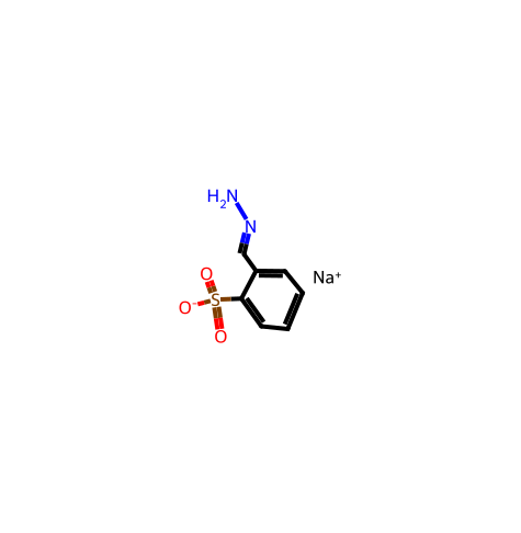 NN=Cc1ccccc1S(=O)(=O)[O-].[Na+]